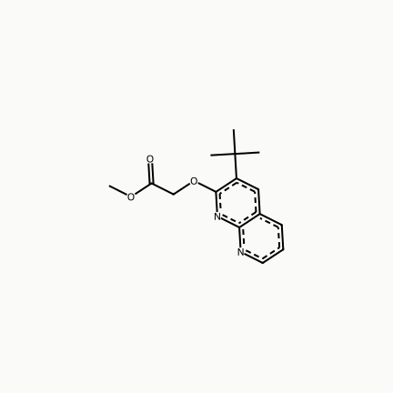 COC(=O)COc1nc2ncccc2cc1C(C)(C)C